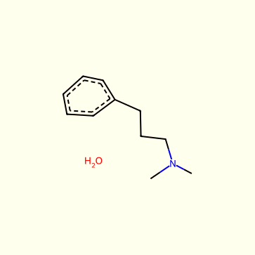 CN(C)CCCc1ccccc1.O